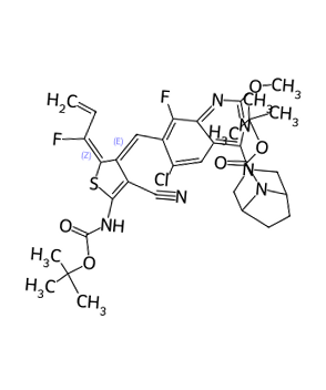 C=C/C(F)=c1/sc(NC(=O)OC(C)(C)C)c(C#N)/c1=C\c1c(Cl)cc2c(N3CC4CCC(C3)N4C(=O)OC(C)(C)C)nc(OC)nc2c1F